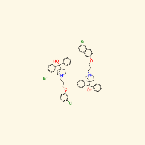 OC(c1ccccc1)(c1ccccc1)C12CC[N+](CCCOc3ccc4ccccc4c3)(CC1)C2.OC(c1ccccc1)(c1ccccc1)C12CC[N+](CCCOc3cccc(Cl)c3)(CC1)C2.[Br-].[Br-]